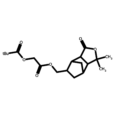 CC(C)(C)C(=O)OCC(=O)OCC1CC2CC1C1C(=O)OC(C)(C)C21